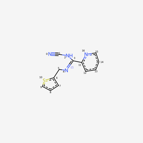 N#CN/C(=N\Cc1cccs1)c1ccccn1